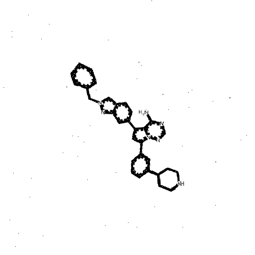 Nc1ncnn2c(-c3cccc(C4CCNCC4)c3)cc(-c3ccc4cn(Cc5ccccc5)nc4c3)c12